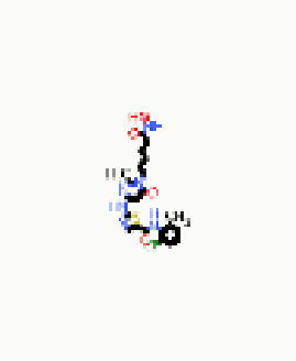 Cc1cccc(Cl)c1NC(=O)c1cnc(Nc2cc(=O)n(CCCCCC(=O)NO)c(C)n2)s1